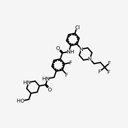 O=C(Nc1ccc(Cl)cc1N1CCN(CCC(F)(F)F)CC1)c1ccc(CNC(=O)C2CNCC(CO)C2)c(F)c1F